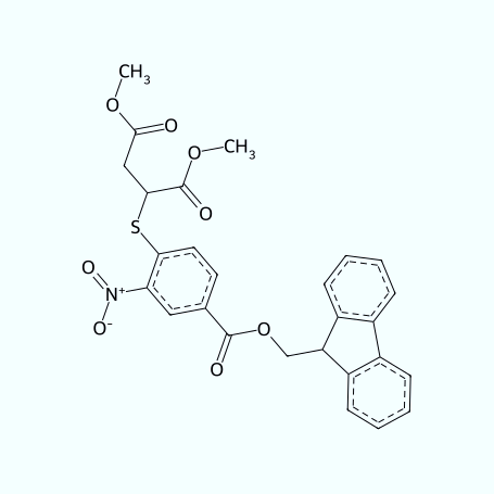 COC(=O)CC(Sc1ccc(C(=O)OCC2c3ccccc3-c3ccccc32)cc1[N+](=O)[O-])C(=O)OC